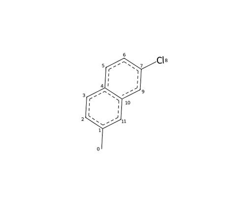 Cc1ccc2ccc(Cl)cc2c1